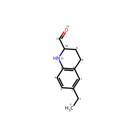 CCc1ccc2c(c1)CCC(C=O)N2